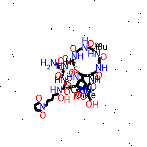 CC[C@H](C)[C@@H]1NC(=O)CNC(=O)[C@@H]2Cc3c([nH]c4c(CSCCNC(=O)CCCCN5C(=O)C=CC5=O)c(OC)ccc34)[S+]([O-])C[C@H](NC(=O)CNC1=O)C(=O)N[C@@H](CC(N)=O)C(=O)NC[C@H](O)CC(=O)N[C@@H]([C@@H](C)[C@@H](O)CO)C(=O)N2